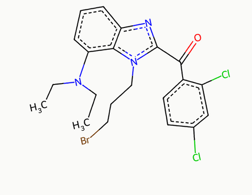 CCN(CC)c1cccc2nc(C(=O)c3ccc(Cl)cc3Cl)n(CCCBr)c12